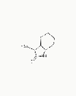 CC(C)(C)C1C(=O)NC2CCCCC21